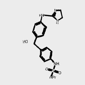 CCCS(=O)(=O)Nc1ccc(Cc2ccc(NC3=NCCN3)cc2)cc1.Cl